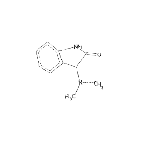 CN(C)C1C(=O)Nc2ccccc21